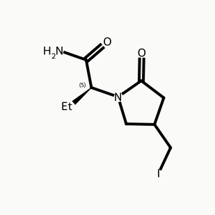 CC[C@@H](C(N)=O)N1CC(CI)CC1=O